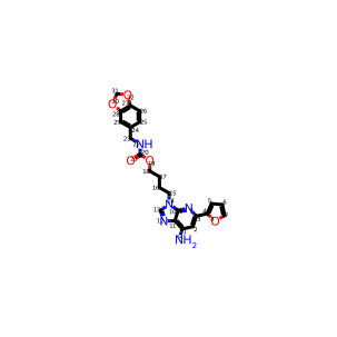 Nc1cc(-c2ccco2)nc2c1ncn2CCCCOC(=O)NCc1ccc2c(c1)OCO2